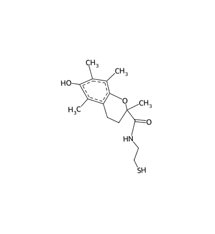 Cc1c(C)c2c(c(C)c1O)CCC(C)(C(=O)NCCS)O2